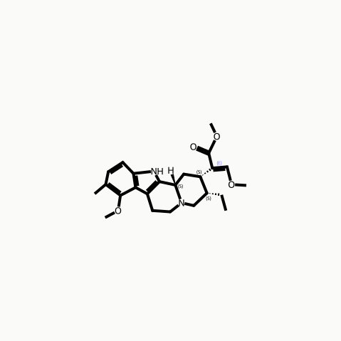 CC[C@@H]1CN2CCc3c([nH]c4ccc(C)c(OC)c34)[C@@H]2C[C@@H]1/C(=C\OC)C(=O)OC